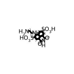 NCCNc1c(S(=O)(=O)O)cc2c3c(cc(S(=O)(=O)O)cc13)C(=O)NC2=O